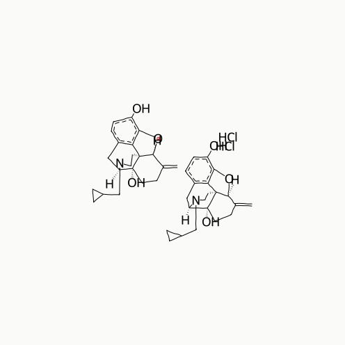 C=C1CC[C@@]2(O)[C@H]3Cc4ccc(O)c5c4[C@@]2(CCN3CC2CC2)[C@H]1O5.C=C1CC[C@@]2(O)[C@H]3Cc4ccc(O)c5c4[C@@]2(CCN3CC2CC2)[C@H]1O5.Cl.Cl